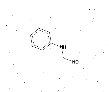 O=NCNc1ccccc1